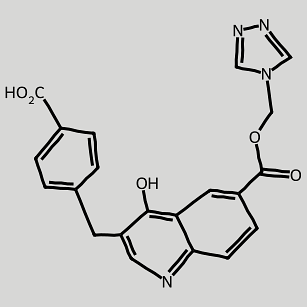 O=C(O)c1ccc(Cc2cnc3ccc(C(=O)OCn4cnnc4)cc3c2O)cc1